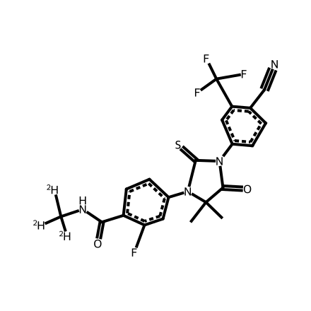 [2H]C([2H])([2H])NC(=O)c1ccc(N2C(=S)N(c3ccc(C#N)c(C(F)(F)F)c3)C(=O)C2(C)C)cc1F